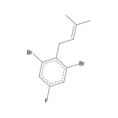 CC(C)=CCc1c(Br)cc(F)cc1Br